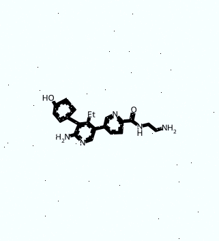 CCc1c(-c2ccc(C(=O)NCCN)nc2)cnc(N)c1-c1ccc(O)cc1